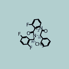 C[C@H](c1cc(F)ccc1F)N(C(=O)c1ccccc1F)[C@H](C(N)=O)c1ccccc1